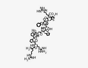 N=C(N)NCCC[C@@H](N)C(=O)N[C@@H](CCCNC(=N)N)C(=O)N1CCC[C@H]1C(=O)C1CCN[C@]1(O)C(=O)NCC(=O)N[C@@H](Cc1cccs1)C(=O)N[C@@H](CO)C(=O)N[C@H](Cc1ccccc1)C(=O)N[C@@H](Cc1cccs1)C(=O)N[C@@H](CCCNC(=N)N)C(=O)O